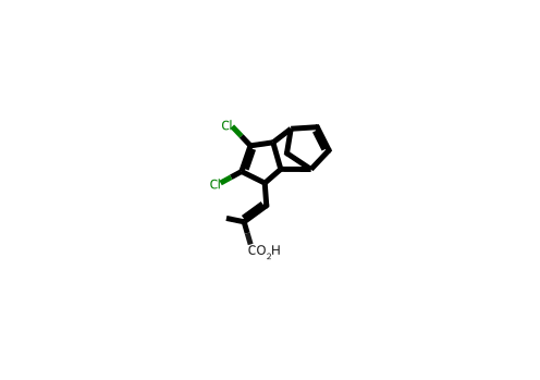 CC(=CC1C(Cl)=C(Cl)C2C3C=CC(C3)C12)C(=O)O